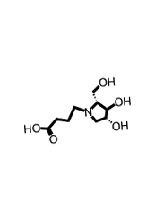 O=C(O)CCCN1C[C@@H](O)C(O)[C@H]1CO